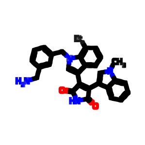 CCc1cccc2c(C3=C(c4cn(C)c5ccccc45)C(=O)NC3=O)cn(Cc3cccc(CN)c3)c12